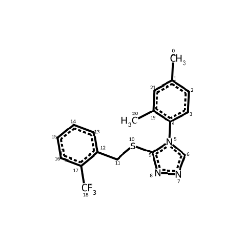 Cc1ccc(-n2cnnc2SCc2ccccc2C(F)(F)F)c(C)c1